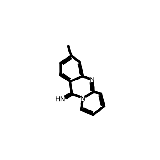 Cc1ccc2c(=N)n3ccccc3nc2c1